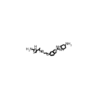 C/C(=N\OCCOc1ccc2c(c1)CN(C(=N)NC1CCC(N)CC1)C2)C1=CSC(N)N1